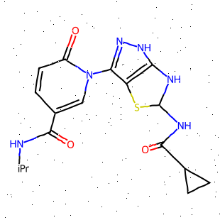 CC(C)NC(=O)c1ccc(=O)n(-c2n[nH]c3c2SC(NC(=O)C2CC2)N3)c1